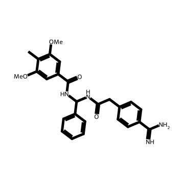 COc1cc(C(=O)NC(NC(=O)Cc2ccc(C(=N)N)cc2)c2ccccc2)cc(OC)c1C